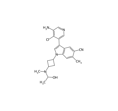 Cc1cc2c(cc1C#N)c(-c1cncc(N)c1Cl)cn2C1CC(N(C)C(C)O)C1